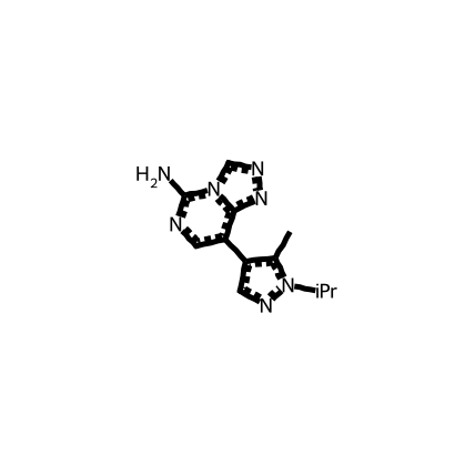 Cc1c(-c2cnc(N)n3cnnc23)cnn1C(C)C